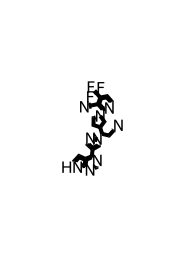 N#CCC(C1CCN(c2nccc(C(F)(F)F)c2C#N)C1)n1cc(-c2ncnc3[nH]ccc23)cn1